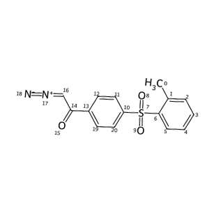 Cc1ccccc1S(=O)(=O)c1ccc(C(=O)C=[N+]=[N-])cc1